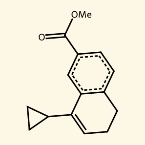 COC(=O)c1ccc2c(c1)C(C1CC1)=CCC2